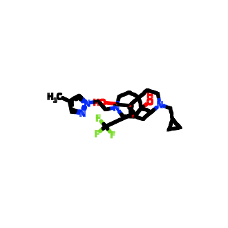 Cc1cnn(CCN2CCC34CCN(CC5CC5)C(Cc5cc(C(F)(F)F)c(O)cc53)C4(O)CC2)c1